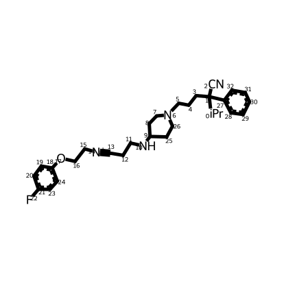 CC(C)C(C#N)(CCCN1CCC(NCCC#[N+]CCOc2ccc(F)cc2)CC1)c1ccccc1